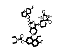 CCc1c(F)ccc2cc(OC(=O)N(CC)CC)cc(N3CCc4c(nc(OC[C@@]56CCCN5C[C@H](F)C6)nc4N4CCC[C@]5(C4)NC(=O)NC5=O)C3)c12